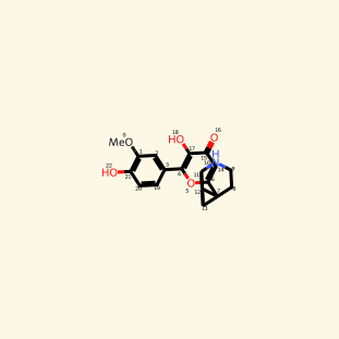 COc1cc(-c2oc(C34CCNC5C3C54)cc(=O)c2O)ccc1O